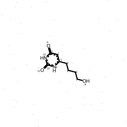 O=c1cc(CCCCO)[nH]c(=O)[nH]1